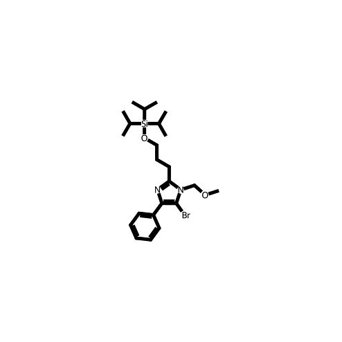 COCn1c(CCCO[Si](C(C)C)(C(C)C)C(C)C)nc(-c2ccccc2)c1Br